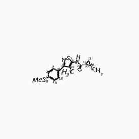 CSc1ccc(-c2nsc(NC(=O)[C@@H]3C[C@H]3C)c2C)cc1